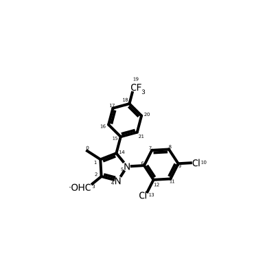 Cc1c([C]=O)nn(-c2ccc(Cl)cc2Cl)c1-c1ccc(C(F)(F)F)cc1